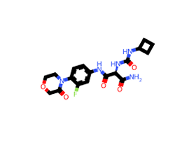 NC(=O)[C@H](NC(=O)NC1CCC1)C(=O)Nc1ccc(N2CCOCC2=O)c(F)c1